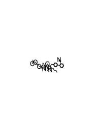 CCCCc1nc(C)n(-c2ncc(OCCOC(C)=O)cn2)c(=O)c1Cc1ccc(-c2ccccc2C#N)cc1